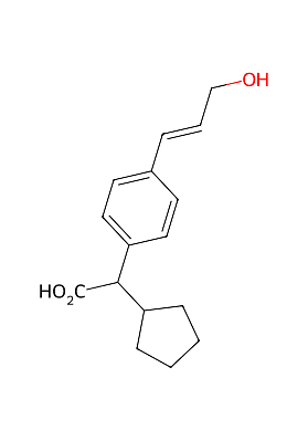 O=C(O)C(c1ccc(/C=C/CO)cc1)C1CCCC1